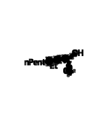 C=C(C)C(=O)OCCc1cc(-c2ccc(-c3ccc(CCCCC)cc3CC)cc2)ccc1CCCO